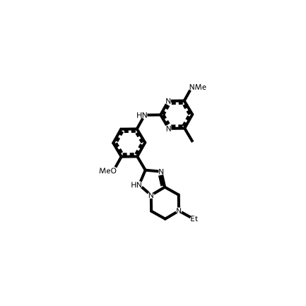 CCN1CCN2NC(c3cc(Nc4nc(C)cc(NC)n4)ccc3OC)N=C2C1